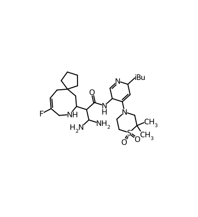 CCC(C)C1C=C(N2CCS(=O)(=O)C(C)(C)C2)C(NC(=O)C(C(N)N)C2CC3(C/C=C(/F)CN2)CCCC3)C=N1